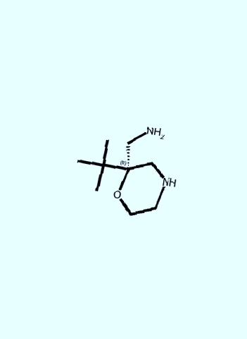 CC(C)(C)[C@@]1(CN)CNCCO1